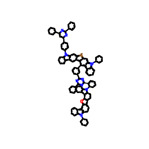 c1ccc(-c2cc(-c3ccc(-n4c5ccccc5c5cc6c(cc54)sc4cc5c(c(-c7cccc(-c8nc(-c9ccccc9)nc(-c9ccccc9-n9c%10ccccc%10c%10c%11oc%12c(ccc%13c%12c%12ccccc%12n%13-c%12ccccc%12)c%11ccc%109)n8)c7)c46)c4ccccc4n5-c4ccccc4)cc3)nc(-c3ccccc3)n2)cc1